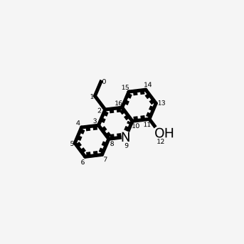 CCc1c2ccccc2nc2c(O)cccc12